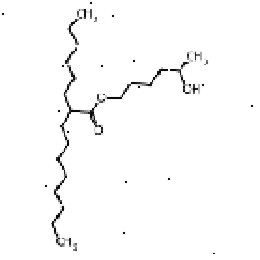 CCCCCCCCC(CCCCCC)C(=O)OCCCC[C@@H](C)O